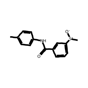 Cc1ccc(NC(=O)c2cccc([S+](C)[O-])c2)cc1